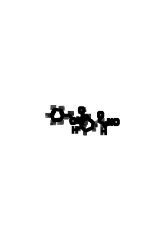 O=NNC(=O)[C@@H]1CC[C@H]2CN1C(=O)N2OCc1ccccc1